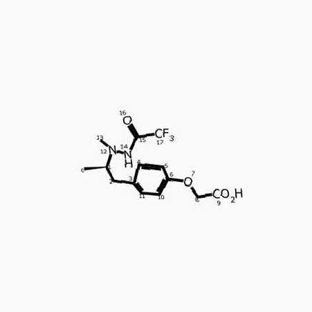 C[C@H](Cc1ccc(OCC(=O)O)cc1)N(C)NC(=O)C(F)(F)F